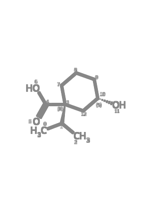 CC(C)[C@@]1(C(=O)O)CCC[C@H](O)C1